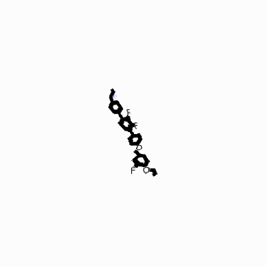 C/C=C/c1ccc(-c2ccc(-c3ccc(OCC4C=C(F)C(OCC)CC4)cc3)c(F)c2F)cc1